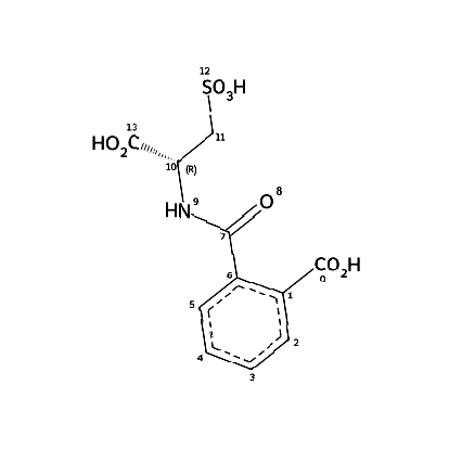 O=C(O)c1ccccc1C(=O)N[C@@H](CS(=O)(=O)O)C(=O)O